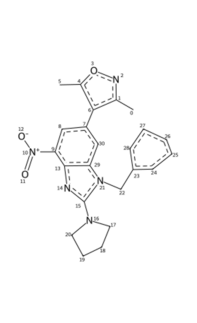 Cc1noc(C)c1-c1cc([N+](=O)[O-])c2nc(N3CCCC3)n(Cc3ccccc3)c2c1